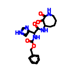 O=C(NC(C(=O)NC1CCCCNC(=O)C1=O)c1c[nH]cn1)OCc1ccccc1